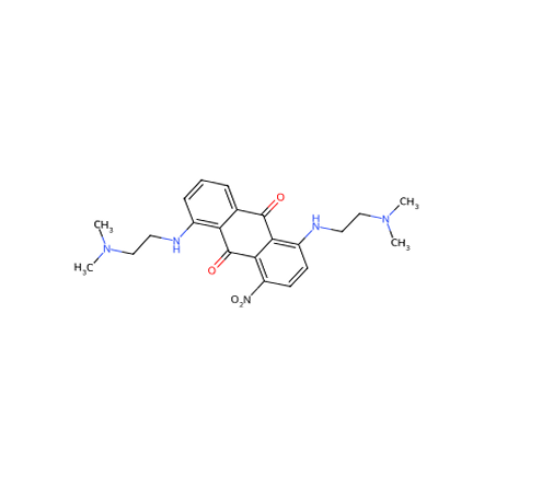 CN(C)CCNc1cccc2c1C(=O)c1c([N+](=O)[O-])ccc(NCCN(C)C)c1C2=O